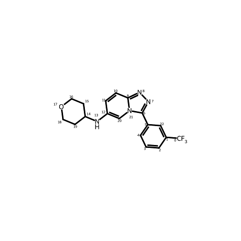 FC(F)(F)c1cccc(-c2nnc3ccc(NC4CCOCC4)cn23)c1